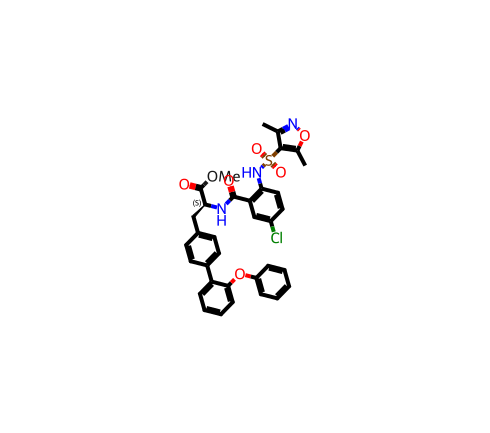 COC(=O)[C@H](Cc1ccc(-c2ccccc2Oc2ccccc2)cc1)NC(=O)c1cc(Cl)ccc1NS(=O)(=O)c1c(C)noc1C